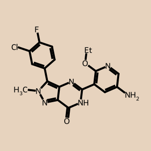 CCOc1ncc(N)cc1-c1nc2c(-c3ccc(F)c(Cl)c3)n(C)nc2c(=O)[nH]1